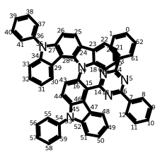 c1ccc(-c2nc(-c3ccccc3)nc(-c3c(-n4c5ccccc5c5ccc6c(c7ccccc7n6-c6ccccc6)c54)ccc4c3c3ccccc3n4-c3ccccc3)n2)cc1